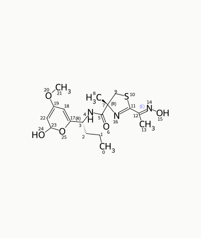 CCC[C@@H](NC(=O)[C@]1(C)CSC(/C(C)=N/O)=N1)C1=CC(OC)=CC(O)O1